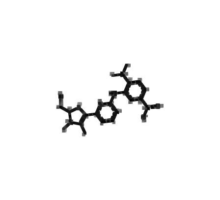 CC1=C(c2ccnc(Nc3cc([N+](=O)[O-])ccc3N(C)C)n2)SC(C=O)N1C